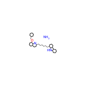 N.c1ccc(COc2cccc3ccc(CCCCCCc4cccc5c4[nH]c4ccccc45)nc23)cc1